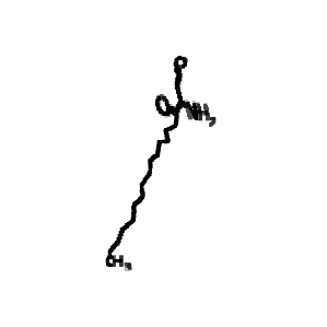 CCCCCCCCCCCCCCCC(=O)C(N)CC=O